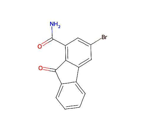 NC(=O)c1cc(Br)cc2c1C(=O)c1ccccc1-2